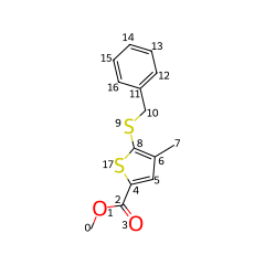 COC(=O)c1cc(C)c(SCc2ccccc2)s1